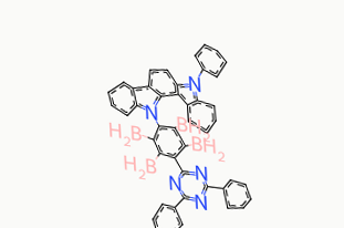 Bc1c(B)c(-n2c3ccccc3c3ccc4c(c5ccccc5n4-c4ccccc4)c32)c(B)c(B)c1-c1nc(-c2ccccc2)nc(-c2ccccc2)n1